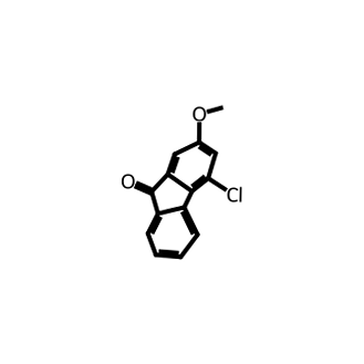 COc1cc(Cl)c2c(c1)C(=O)c1ccccc1-2